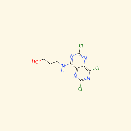 OCCCNc1nc(Cl)nc2c(Cl)nc(Cl)nc12